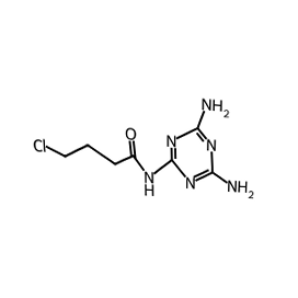 Nc1nc(N)nc(NC(=O)CCCCl)n1